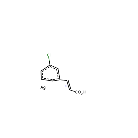 O=C(O)/C=C/c1cccc(Cl)c1.[Ag]